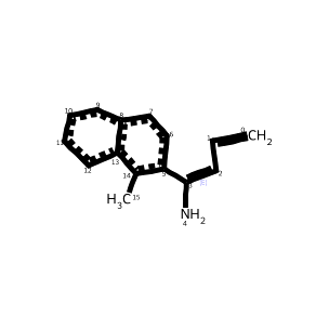 C=C/C=C(/N)c1ccc2ccccc2c1C